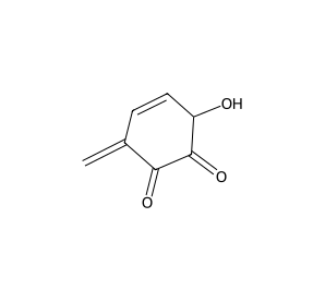 C=C1C=CC(O)C(=O)C1=O